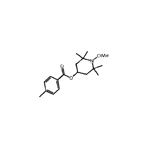 CON1C(C)(C)CC(OC(=O)c2ccc(C)cc2)CC1(C)C